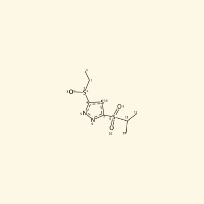 CC[S+]([O-])c1nnc(S(=O)(=O)C(C)C)s1